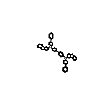 C1=CC(c2ccc(N(c3ccc(-c4ccc(N(c5ccc(-c6ccccc6)cc5)c5ccc6c(c5)-c5ccccc5C6)cc4)cc3)c3ccc4c(c3)C3=CCCC=C3C4)cc2)=CCC1